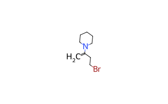 C=C(CCBr)N1CCCCC1